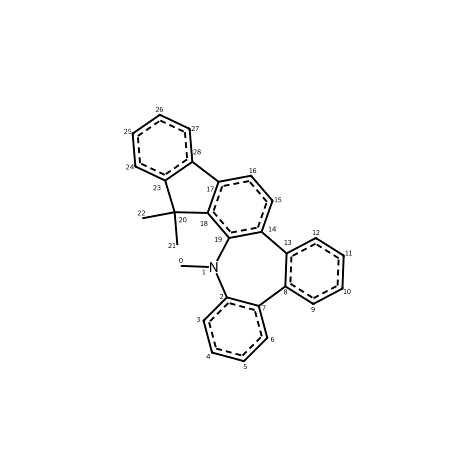 CN1c2ccccc2-c2ccccc2-c2ccc3c(c21)C(C)(C)c1ccccc1-3